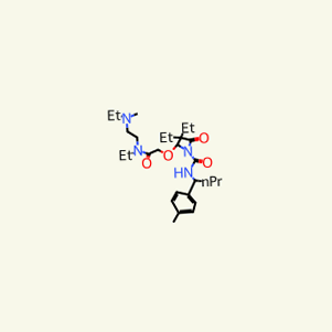 CCCC(NC(=O)N1C(=O)C(CC)(CC)C1OCC(=O)N(CC)CCN(C)CC)c1ccc(C)cc1